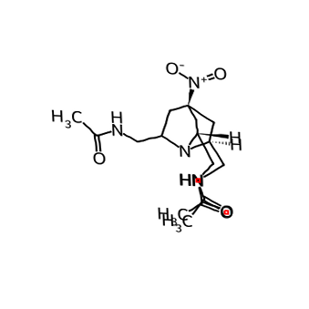 CC(=O)NCC1C[C@]2([N+](=O)[O-])C[C@@H](CNC(C)=O)N1[C@@H](CNC(C)=O)C2